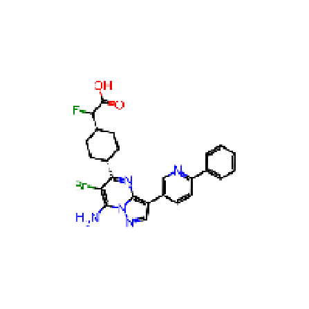 Nc1c(Br)c([C@H]2CC[C@H](C(F)C(=O)O)CC2)nc2c(-c3ccc(-c4ccccc4)nc3)cnn12